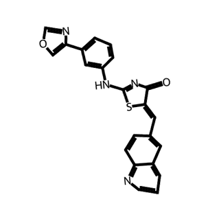 O=C1N=C(Nc2cccc(-c3cocn3)c2)S/C1=C\c1ccc2ncccc2c1